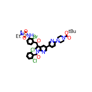 CCN(C)S(=O)(=O)Nc1cccc(C(=O)c2cn(C(=O)c3c(Cl)cccc3Cl)c3ncc(-c4ccc(N5CCN(C(=O)OC(C)(C)C)CC5)nc4)cc23)c1Br